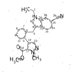 CCn1cc(Cc2ccccc2-c2cnn(C)c2C(=O)OC)c2ccc(C#N)cc21